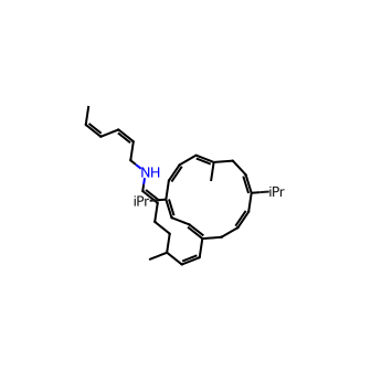 C/C=C\C=C/CN/C=C/CCC(C)\C=C/C1=C\C=C(C(C)C)/C=C\C=C(/C)C/C=C(C(C)C)\C=C/C1